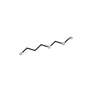 CC(C)OCOCCC[O]